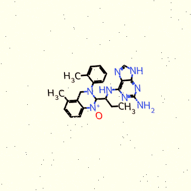 CCC(Nc1nc(N)nc2[nH]cnc12)C1N(c2ccccc2C)Cc2c(C)cccc2[N+]1=O